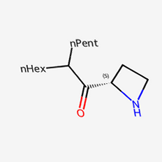 CCCCCCC(CCCCC)C(=O)[C@@H]1CCN1